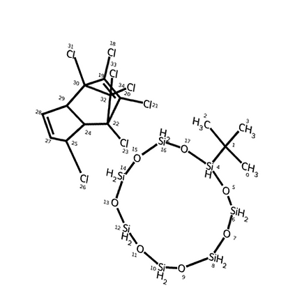 CC(C)(C)[SiH]1O[SiH2]O[SiH2]O[SiH2]O[SiH2]O[SiH2]O[SiH2]O1.ClC1=C(Cl)C2(Cl)C3C(Cl)C=CC3C1(Cl)C2(Cl)Cl